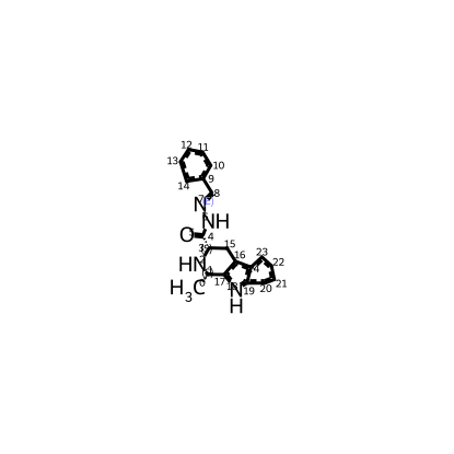 C[C@@H]1N[C@H](C(=O)N/N=C/c2ccccc2)Cc2c1[nH]c1ccccc21